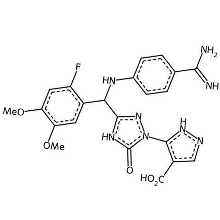 COc1cc(F)c(C(Nc2ccc(C(=N)N)cc2)c2nn(-c3[nH]ncc3C(=O)O)c(=O)[nH]2)cc1OC